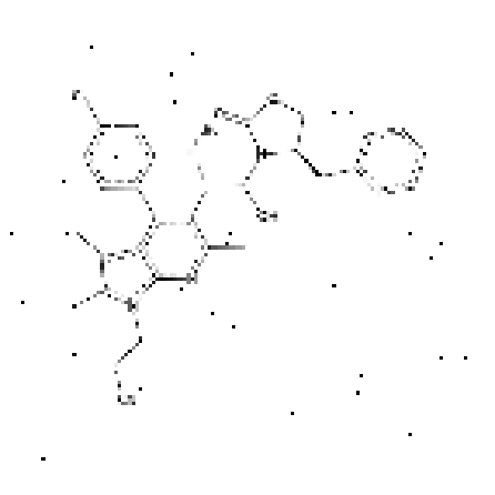 Cc1nc2c(c(C)c(C)n2CCC#N)c(-c2ccc(Cl)cc2)c1[C@H](OC(C)(C)C)C(O)N1C(=O)OC[C@H]1Cc1ccccc1